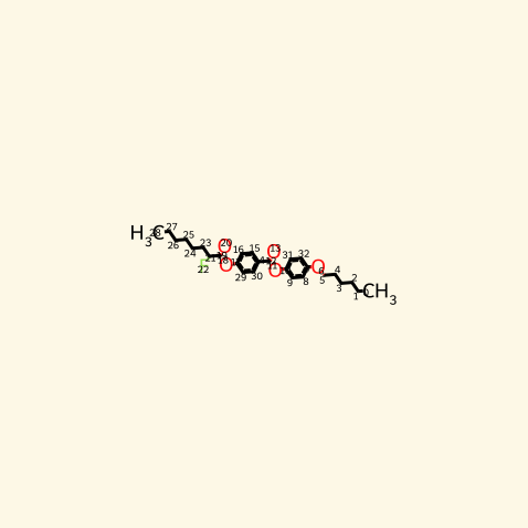 CCCCCCOc1ccc(OC(=O)c2ccc(OC(=O)C(F)CCCCCC)cc2)cc1